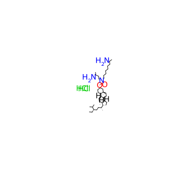 CC[C@H](CC[C@@H](C)[C@H]1CC[C@H]2[C@@H]3CC=C4C[C@@H](OC(=O)N(CCCCCCCC(C)N)CCC(C)N)CC[C@]4(C)[C@H]3CC[C@]12C)C(C)C.Cl.Cl